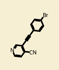 N#Cc1ccncc1C#Cc1ccc(Br)cc1